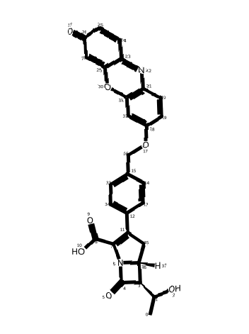 CC(O)[C@H]1C(=O)N2C(C(=O)O)=C(c3ccc(COc4ccc5nc6ccc(=O)cc-6oc5c4)cc3)C[C@H]12